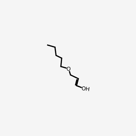 CCCCCOCC=CO